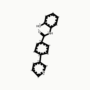 O=C(Nc1ccccc1O)c1ccc(-c2cccnc2)cc1